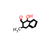 CC1Cc2ccccc2C(O)C1C=O